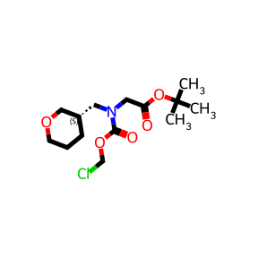 CC(C)(C)OC(=O)CN(C[C@@H]1CCCOC1)C(=O)OCCl